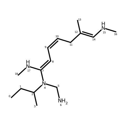 CCC(C)N(CN)/C(=C/C=C\C/C(C)=C/NC)NC